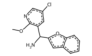 COc1ncc(Cl)cc1C(N)c1cc2ccccc2o1